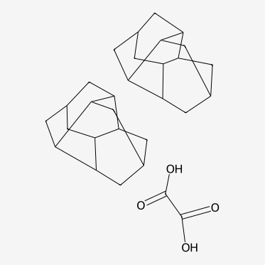 C1C2CC3C4CC5CC(C14)C(C2)C3C5.C1C2CC3C4CC5CC(C14)C(C2)C3C5.O=C(O)C(=O)O